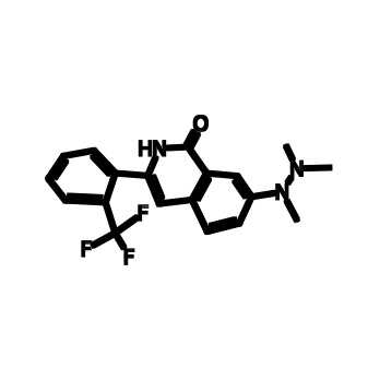 CN(C)N(C)c1ccc2cc(-c3ccccc3C(F)(F)F)[nH]c(=O)c2c1